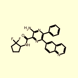 Nc1nc(-c2ccccc2)c(-c2ccc3ncccc3c2)nc1C(=O)NC1CCCC1(F)F